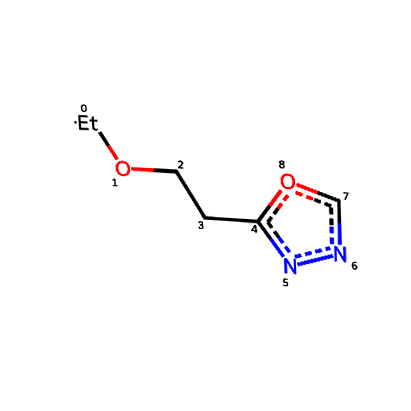 C[CH]OCCc1nnco1